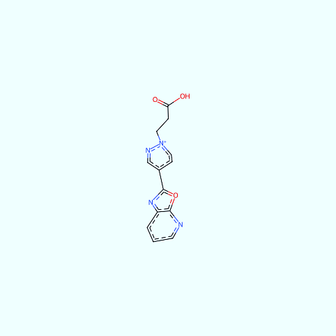 O=C(O)CC[n+]1ccc(-c2nc3cccnc3o2)cn1